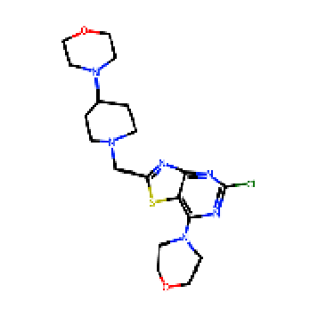 Clc1nc(N2CCOCC2)c2sc(CN3CCC(N4CCOCC4)CC3)nc2n1